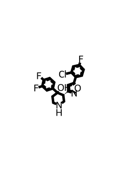 O[C@]1(c2ccc(F)c(F)c2)CCNC[C@H]1c1cc(-c2ccc(F)cc2Cl)on1